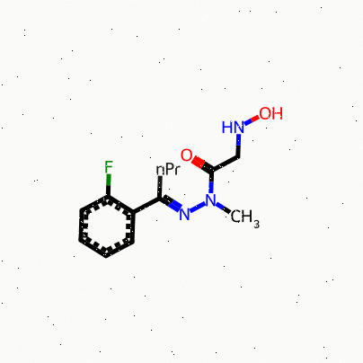 CCC/C(=N\N(C)C(=O)CNO)c1ccccc1F